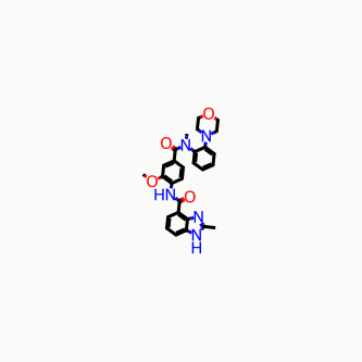 COc1cc(C(=O)N(C)c2ccccc2N2CCOCC2)ccc1NC(=O)c1cccc2[nH]c(C)nc12